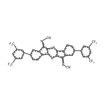 N#C/N=c1/c2cc(-c3cc(C(F)(F)F)cc(C(F)(F)F)c3)ccc2c2nc3/c(=N/C#N)c4cc(-c5cc(C(F)(F)F)cc(C(F)(F)F)c5)ccc4c3nc12